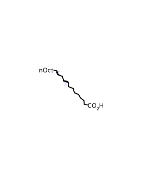 CCCCCCCC/C=C/C/C=C/CCCCCCCC(=O)O